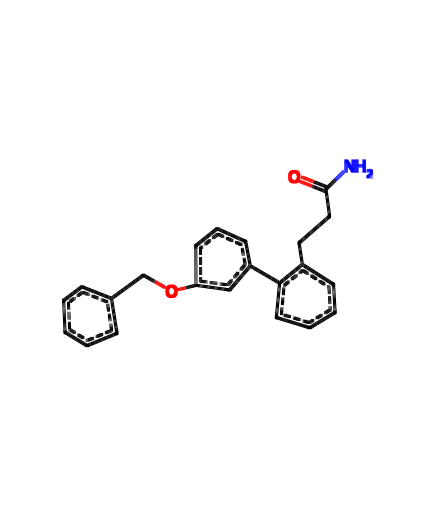 NC(=O)CCc1ccccc1-c1cccc(OCc2ccccc2)c1